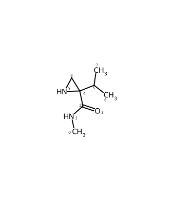 CNC(=O)C1(C(C)C)CN1